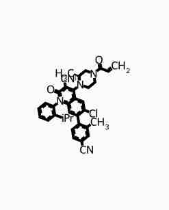 C=CC(=O)N1CCN(c2c(C#N)c(=O)n(-c3ccccc3C(C)C)c3cc(-c4ccc(C#N)cc4C)c(Cl)cc23)[C@@H](C)C1